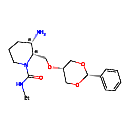 CCNC(=O)N1CCC[C@H](N)[C@@H]1CO[C@H]1CO[C@@H](c2ccccc2)OC1